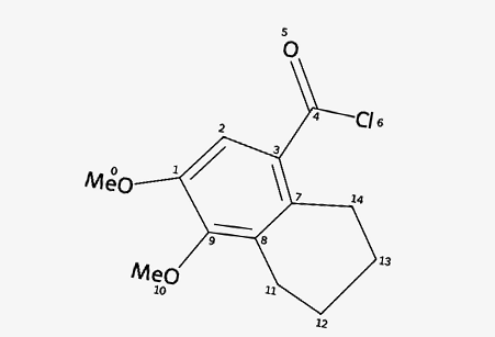 COc1cc(C(=O)Cl)c2c(c1OC)CCCC2